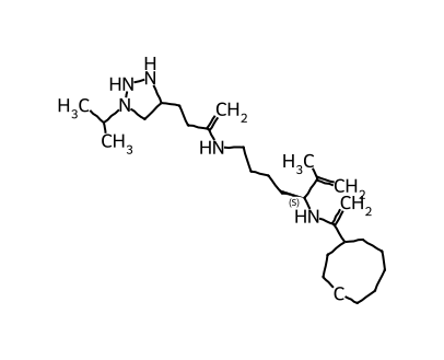 C=C(CCC1CN(C(C)C)NN1)NCCCC[C@H](NC(=C)C1CCCCCCCC1)C(=C)C